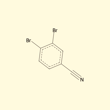 N#Cc1ccc(Br)c(Br)c1